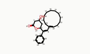 O=C1CC(O)CC(C(=CC2=CCCCCCCCCCC2)c2ccccc2)O1